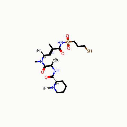 C/C(=C\[C@H](C(C)C)N(C)C(=O)C(NC(=O)[C@@H]1CCCCN1C(C)C)C(C)(C)C)C(=O)NS(=O)(=O)CCCS